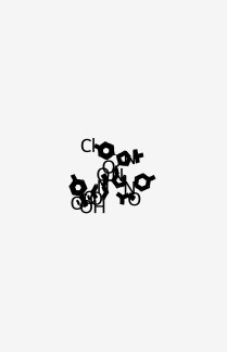 CC1CCC(N(C(=O)C(C)C)[C@H]2C[C@@H](C(=O)N3CCOCC3)N(C(=O)[C@@H]3CN(C(C)(C)C)C[C@H]3c3ccc(Cl)cc3)C2)CC1.Cc1ccc(S(=O)(=O)O)cc1